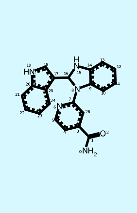 NC(=O)c1ccnc(N2c3ccccc3NC2c2c[nH]c3ccccc23)c1